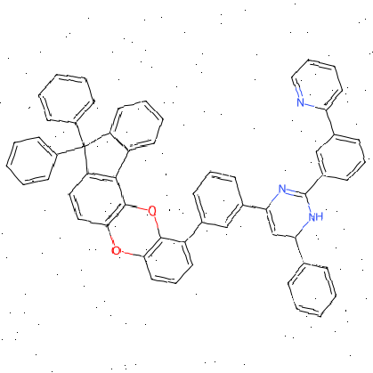 C1=C(c2cccc(-c3cccc4c3Oc3c(ccc5c3-c3ccccc3C5(c3ccccc3)c3ccccc3)O4)c2)N=C(c2cccc(-c3ccccn3)c2)NC1c1ccccc1